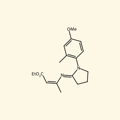 CCOC(=O)/C=C(C)\N=C1/CCCN1c1ccc(OC)cc1C